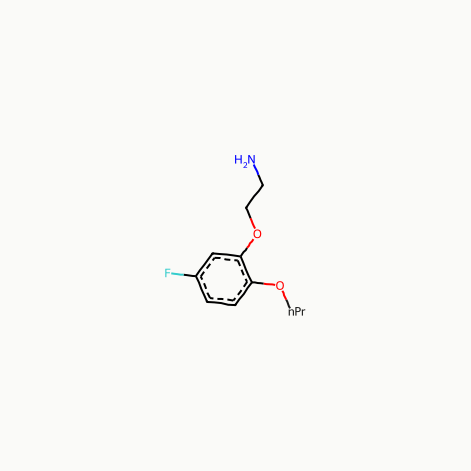 CCCOc1ccc(F)cc1OCCN